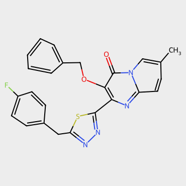 Cc1ccc2nc(-c3nnc(Cc4ccc(F)cc4)s3)c(OCc3ccccc3)c(=O)n2c1